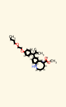 CCCCOCCOc1ccc(C(c2ccc3c(c2)/C=C(/C(=O)OC)CCCCN3)C(C)C)cc1